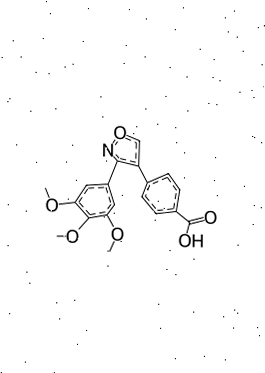 COc1cc(-c2nocc2-c2ccc(C(=O)O)cc2)cc(OC)c1OC